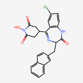 O=C1Nc2ccc(Cl)cc2C(C2CC(=O)N(O)C(=O)C2)=NC1Cc1ccc2ccccc2c1